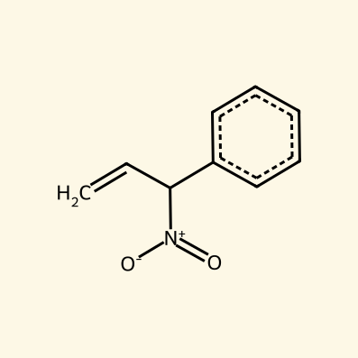 C=CC(c1ccccc1)[N+](=O)[O-]